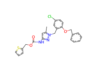 Cc1cc(NC(=O)OCc2cccs2)nn1Cc1cc(Cl)ccc1OCc1ccccc1